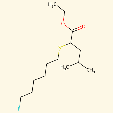 CCOC(=O)C(CC(C)C)SCCCCCCF